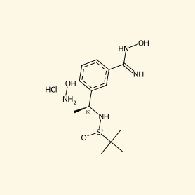 C[C@H](N[S+]([O-])C(C)(C)C)c1cccc(C(=N)NO)c1.Cl.NO